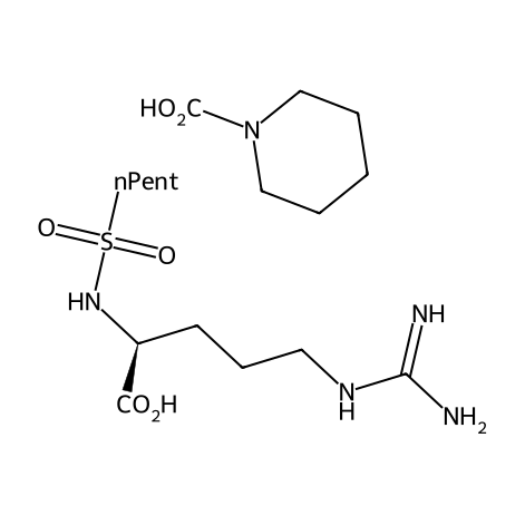 CCCCCS(=O)(=O)N[C@@H](CCCNC(=N)N)C(=O)O.O=C(O)N1CCCCC1